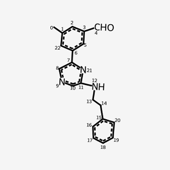 Cc1cc(C=O)cc(-c2cncc(NCCc3ccccc3)n2)c1